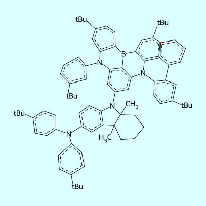 CC(C)(C)c1ccc(N(c2ccc(C(C)(C)C)cc2)c2ccc3c(c2)C2(C)CCCCC2(C)N3c2cc3c4c(c2)N(c2ccc(C(C)(C)C)cc2-c2ccccc2)c2ccc(C(C)(C)C)cc2B4c2ccc(C(C)(C)C)cc2N3c2cccc(C(C)(C)C)c2)cc1